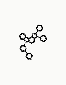 c1ccc(-c2sc3c(ccc4c3c3ccccc3n4-c3cccc(-c4ccncc4)n3)c2-c2ccccc2)cc1